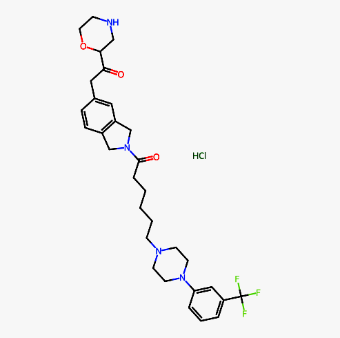 Cl.O=C(Cc1ccc2c(c1)CN(C(=O)CCCCCN1CCN(c3cccc(C(F)(F)F)c3)CC1)C2)C1CNCCO1